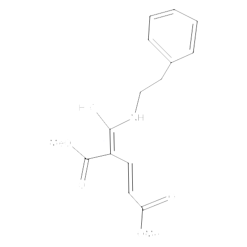 COC(=O)/C=C/C(C(=O)OC)=C(/C)NCCc1ccccc1